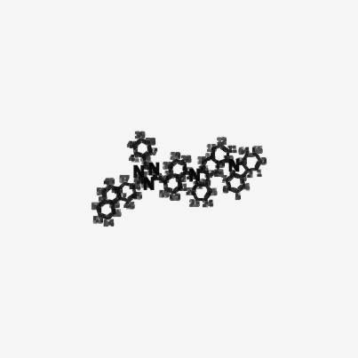 C1=CC2c3ccccc3N(C3C=CC=C4C=C5C(CC43)C3=C(CCC=C3)N5c3cccc4c(-c5nc(-c6ccccc6)nc(C6C=Cc7c(ccc8ccccc78)C6)n5)cccc34)C2C=C1